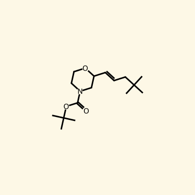 CC(C)(C)CC=CC1CN(C(=O)OC(C)(C)C)CCO1